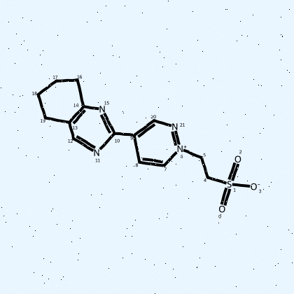 O=S(=O)([O-])CC[n+]1ccc(-c2ncc3c(n2)CCCC3)cn1